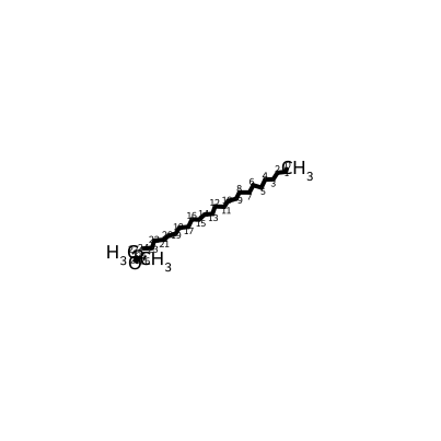 CCCCCCCCCCCCCCCCCCCCCCCCCP(C)(C)=O